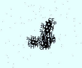 [2H]c1c([2H])c(C([2H])([2H])Sc2nc(=O)c3c(n2C([2H])([2H])C(=O)N(CCN(C([2H])([2H])C)C([2H])([2H])C)C([2H])([2H])c2c([2H])c([2H])c(-c4c([2H])c([2H])c(C(F)(F)F)c(C)c4[2H])c([2H])c2[2H])C([2H])([2H])C([2H])([2H])C3([2H])[2H])c([2H])c([2H])c1F